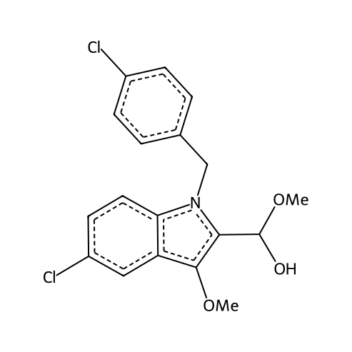 COc1c(C(O)OC)n(Cc2ccc(Cl)cc2)c2ccc(Cl)cc12